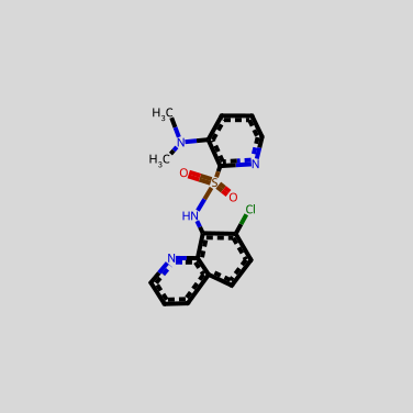 CN(C)c1cccnc1S(=O)(=O)Nc1c(Cl)ccc2cccnc12